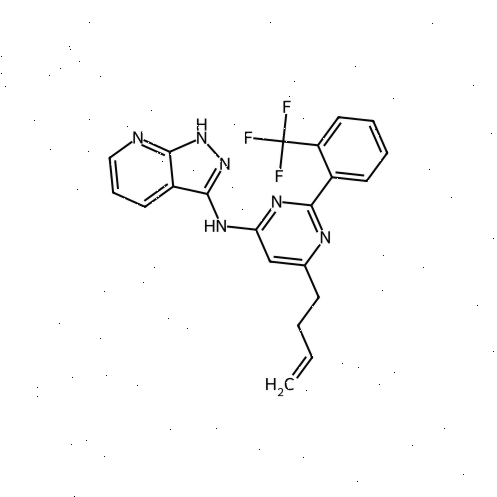 C=CCCc1cc(Nc2n[nH]c3ncccc23)nc(-c2ccccc2C(F)(F)F)n1